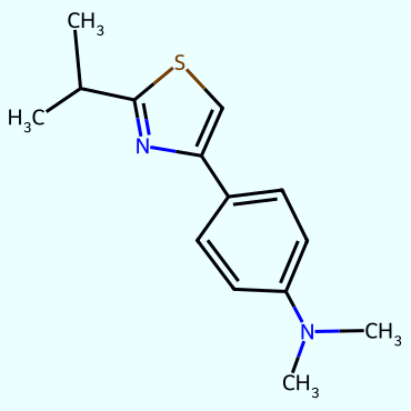 CC(C)c1nc(-c2ccc(N(C)C)cc2)cs1